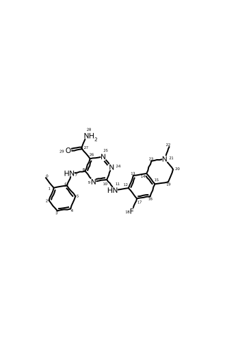 Cc1ccccc1Nc1nc(Nc2cc3c(cc2F)CCN(C)C3)nnc1C(N)=O